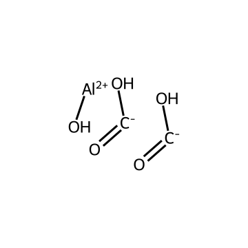 O=[C-]O.O=[C-]O.[OH][Al+2]